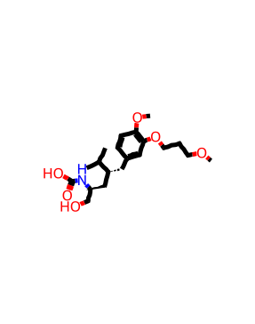 COCCCOc1cc(C[C@H](C[C@@H](CO)NC(=O)O)C(C)C)ccc1OC